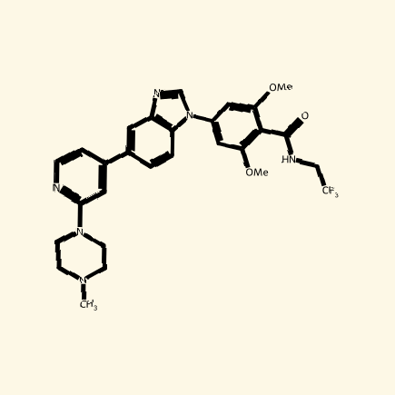 COc1cc(-n2cnc3cc(-c4ccnc(N5CCN(C)CC5)c4)ccc32)cc(OC)c1C(=O)NCC(F)(F)F